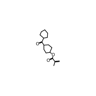 C=C(C)C(=O)OC1CCC(C(=O)C2CCCCC2)CC1